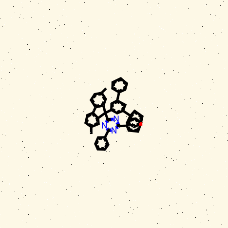 Cc1ccc2c(c1)C(c1cc(-c3ccccc3)cc(-c3ccccc3)c1)(c1nc(-c3ccccc3)nc(-c3ccccc3)n1)c1cc(C)ccc1-2